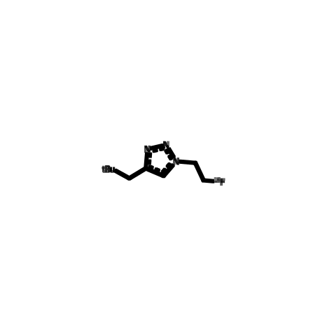 CC(C)(C)Cc1cn(CC[18F])nn1